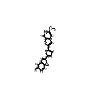 COc1cc2cc(-c3ccc(-c4cc5cc(C)ncc5s4)s3)sc2cn1